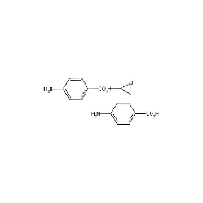 CC1CO1.Nc1ccc(C(=O)O)cc1.Nc1ccc(C(=O)O)cc1